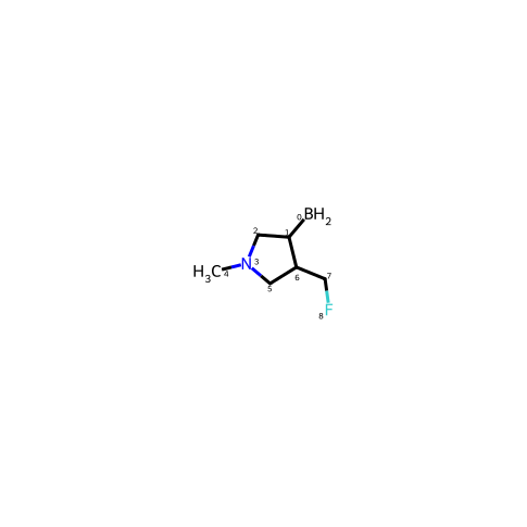 BC1CN(C)CC1CF